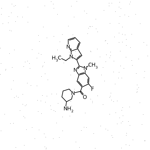 CCn1c(-c2nc3cc(C(=O)N4CCCC(N)C4)c(F)cc3n2C)cc2cccnc21